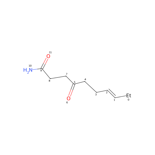 CCC=CCCC(=O)CCC(N)=O